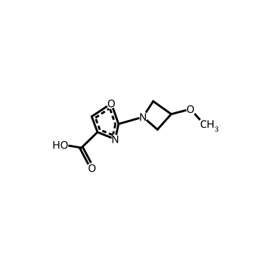 COC1CN(c2nc(C(=O)O)co2)C1